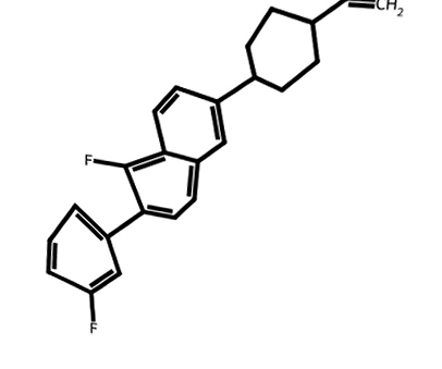 C=CC1CCC(c2ccc3c(F)c(-c4cccc(F)c4)ccc3c2)CC1